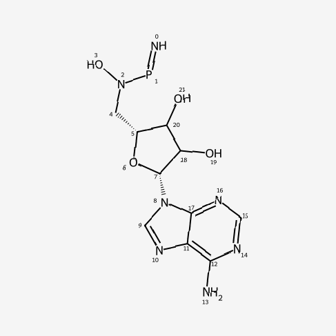 N=PN(O)C[C@H]1O[C@@H](n2cnc3c(N)ncnc32)C(O)C1O